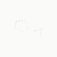 C1=C[C@@H](C2CC2)NC1